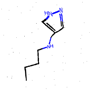 CCCCNc1[c]n[nH]c1